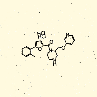 Cc1ccccc1-c1ccc(C(=O)N2CCNCC2COc2cccnc2)o1.Cl.Cl